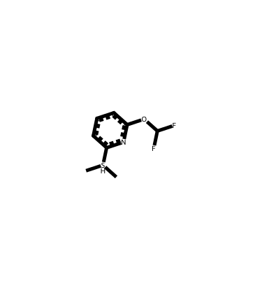 C[SH](C)c1cccc(OC(F)F)n1